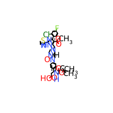 COC(=O)C1=C(CN2CCN3C(=O)N(c4ccc(C(CC(=O)O)NC(=O)OC(C)(C)C)cc4)C[C@@H]3C2)NC(c2nccs2)=N[C@H]1c1ccc(F)cc1Cl